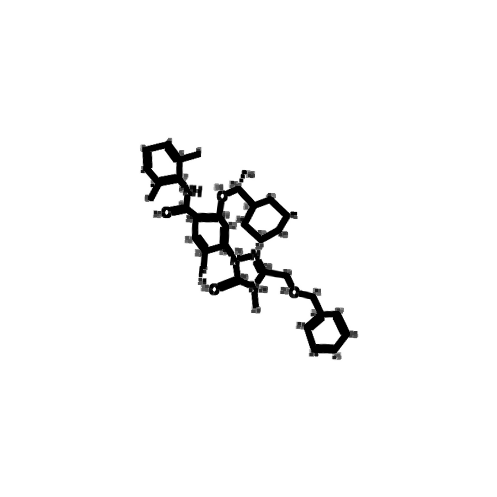 Cc1cccc(C)c1NC(=O)c1cc(F)c(-n2nc(COCc3ccccc3)n(C)c2=O)cc1O[C@H](C)C1CCCCC1